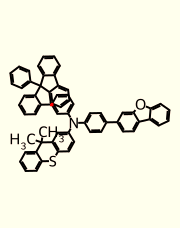 CC1(C)c2ccccc2Sc2ccc(N(c3ccc(-c4ccc5c(c4)oc4ccccc45)cc3)c3cccc(-c4ccccc4C4(c5ccccc5)c5ccccc5-c5ccccc54)c3)cc21